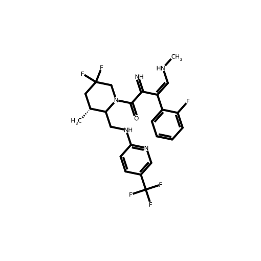 CN/C=C(\C(=N)C(=O)N1CC(F)(F)C[C@@H](C)C1CNc1ccc(C(F)(F)F)cn1)c1ccccc1F